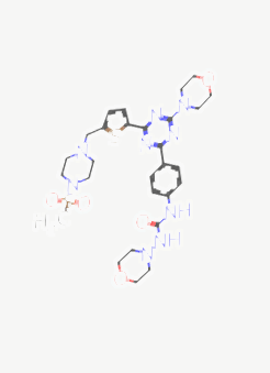 CS(=O)(=O)N1CCN(Cc2ccc(-c3nc(-c4ccc(NC(=O)NN5CCOCC5)cc4)nc(N4CCOCC4)n3)s2)CC1